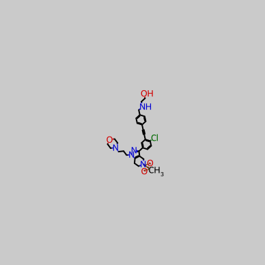 CS(=O)(=O)N1CCc2c(c(-c3ccc(Cl)c(C#Cc4ccc(CNCCO)cc4)c3)nn2CCCN2CCOCC2)C1